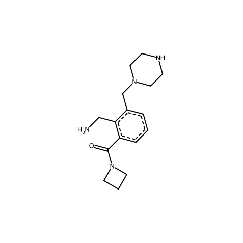 NCc1c(CN2CCNCC2)cccc1C(=O)N1CCC1